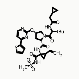 C=CC1C[C@]1(NC(=O)[C@@H]1C[C@@H](Oc2nccc(-c3cccs3)n2)CN1C(=O)[C@@H](NC(=O)CC1CC1)C(C)(C)C)C(=O)NS(C)(=O)=O